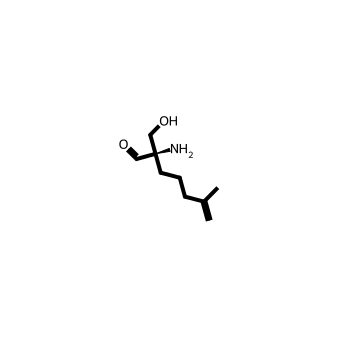 C=C(C)CCC[C@](N)(C=O)CO